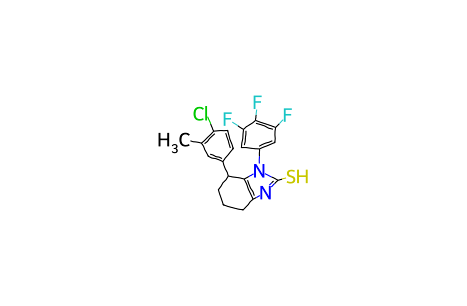 Cc1cc(C2CCCc3nc(S)n(-c4cc(F)c(F)c(F)c4)c32)ccc1Cl